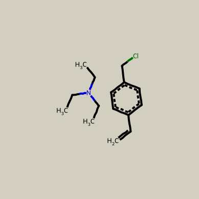 C=Cc1ccc(CCl)cc1.CCN(CC)CC